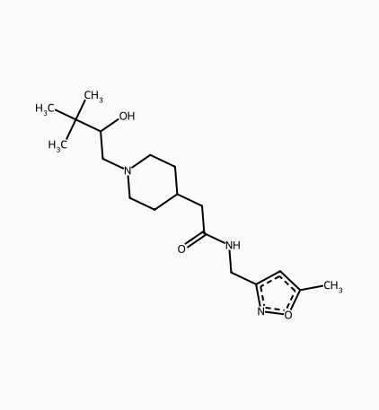 Cc1cc(CNC(=O)CC2CCN(CC(O)C(C)(C)C)CC2)no1